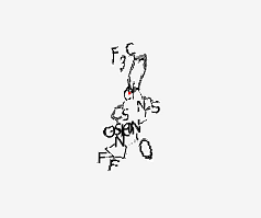 O=C(NCc1nc(-c2ccc(C(F)(F)F)cc2)cs1)[C@@H]1CC(F)(F)CN1S(=O)(=O)c1ccc(Cl)s1